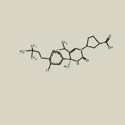 CC(C)C1=CN(C2CCC(C(=O)O)C2)C(=O)N[C@@]1(C)c1ccc(CCC(C)(C)C)c(Cl)c1